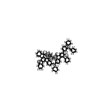 CC1(C)c2cc(N(c3ccccc3)c3ccc4c(c3)C(C)(C)c3c5c(c6oc7ccccc7c6c3-4)-c3ccccc3C5(C)C)ccc2-c2c1cc(-c1ccc3c4ccccc4n(-c4ccccc4)c3c1)c1oc3ccccc3c21